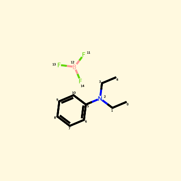 CCN(CC)c1ccccc1.FB(F)F